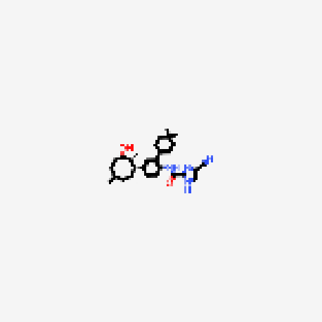 CC1CCC(O)[C@H](C)[C@H](c2ccc(NC(=O)c3nc(C#N)c[nH]3)c(C3=CCC(C)(C)CC3)c2)[C@H](C)C1